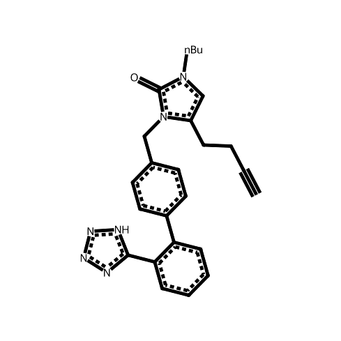 C#CCCc1cn(CCCC)c(=O)n1Cc1ccc(-c2ccccc2-c2nnn[nH]2)cc1